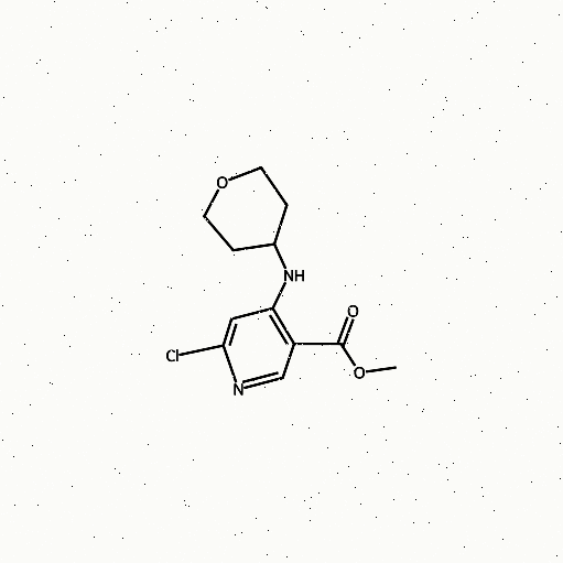 COC(=O)c1cnc(Cl)cc1NC1CCOCC1